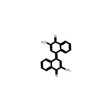 CC1=CC(=C2C=C(C)C(=O)c3ccccc32)c2ccccc2C1=O